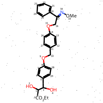 CCOC(=O)C(O)C(O)c1ccc(OCc2ccc(OC/C(=N\OC)c3ccccc3)cc2)cc1